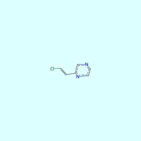 ClC=Cc1cnccn1